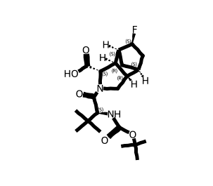 CC(C)(C)OC(=O)N[C@H](C(=O)N1C[C@@H]2[C@H]3C[C@@H]([C@@H]2[C@H]1C(=O)O)[C@@H](F)C3)C(C)(C)C